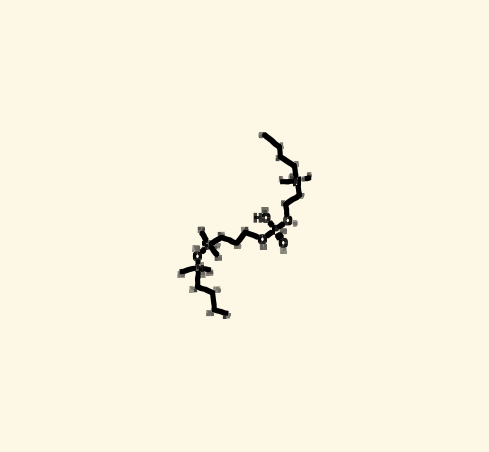 CCCC[N+](C)(C)CCOP(=O)(O)OCCC[Si](C)(C)O[Si](C)(C)CCCC